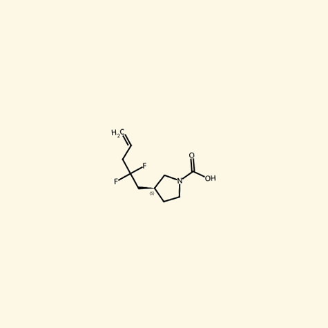 C=CCC(F)(F)C[C@@H]1CCN(C(=O)O)C1